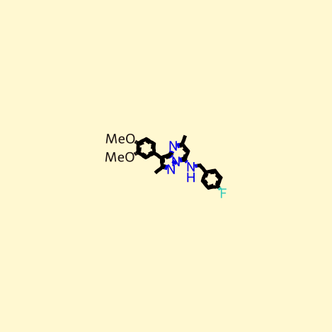 COc1ccc(-c2c(C)nn3c(NCc4ccc(F)cc4)cc(C)nc23)cc1OC